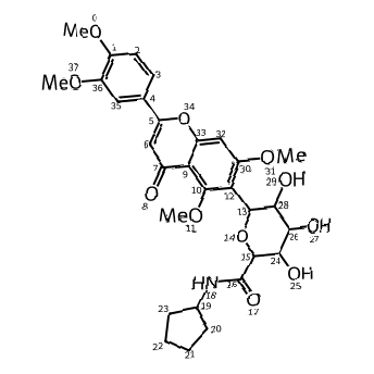 COc1ccc(-c2cc(=O)c3c(OC)c(C4OC(C(=O)NC5CCCC5)C(O)C(O)C4O)c(OC)cc3o2)cc1OC